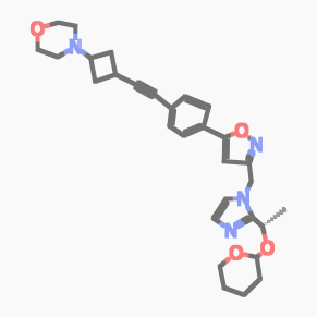 C[C@H](OC1CCCCO1)c1nccn1Cc1cc(-c2ccc(C#CC3CC(N4CCOCC4)C3)cc2)on1